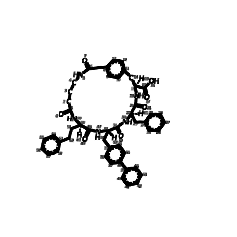 O=C1CCCNC(=O)c2ccc(cc2)C[C@@H](C(=O)O)NC(=O)[C@@H](Cc2ccccc2)NC(=O)[C@H](Cc2ccc(-c3ccccc3)cc2)NC(=O)[C@@H](CCc2ccccc2)N1